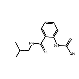 CC(C)CNC(=O)c1ccccc1NC(=O)O